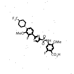 COc1cc(C(=O)O)c(F)cc1NS(=O)(=O)c1csc(-c2ccc([C@H]3CC[C@H](C(F)(F)F)CC3)c(OC)c2F)n1